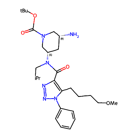 COCCCCc1c(C(=O)N(CC(C)C)[C@H]2C[C@@H](N)CN(C(=O)OC(C)(C)C)C2)nnn1-c1ccccc1